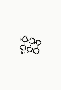 [Ir+2].c1ccc(-c2ccccn2)cc1.c1ccc(-c2ccccn2)cc1.c1ccc(-c2ccccn2)cc1